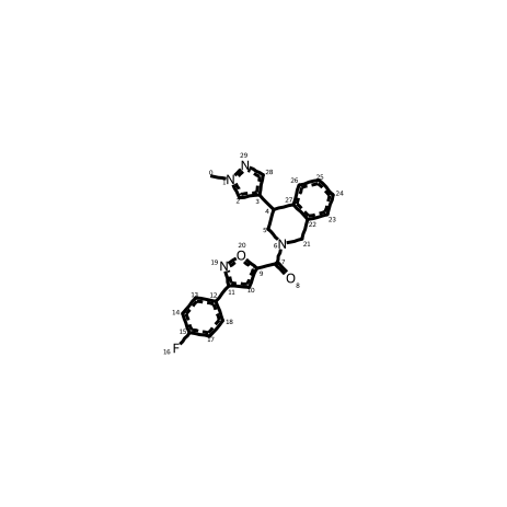 Cn1cc(C2CN(C(=O)c3cc(-c4ccc(F)cc4)no3)Cc3ccccc32)cn1